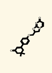 CC1(C)CC(=O)C=C(c2ccc(OCC3Cn4ccc(=O)nc4O3)cc2)C1